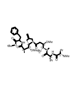 C=C1C[C@@H]([C@H](OC)[C@@H](C)C(=O)NC(Cc2ccccc2)C(=O)OC(C)(C)C)N(C(=O)C[C@@H](OC)[C@H]([C@@H](C)CC)N(C)C(=O)[C@@H](NC(=O)[C@@H](NC)C(C)C)C(C)C)C1